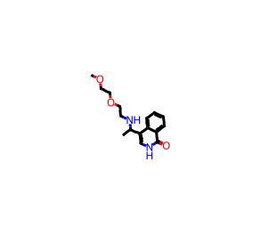 COCCOCCNC(C)c1c[nH]c(=O)c2ccccc12